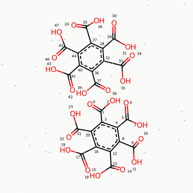 O=C(O)c1c(C(=O)O)c(C(=O)O)c(C(=O)O)c(C(=O)O)c1C(=O)O.O=C(O)c1c(C(=O)O)c(C(=O)O)c(C(=O)O)c(C(=O)O)c1C(=O)O